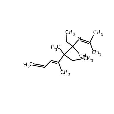 C=C/C=C(\C)C(C)(CC)C(C)(CC)N=C(C)C